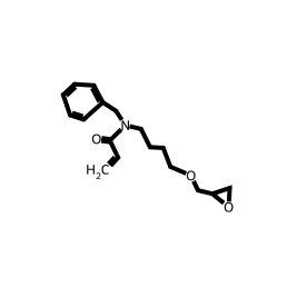 C=CC(=O)N(CCCCOCC1CO1)Cc1ccccc1